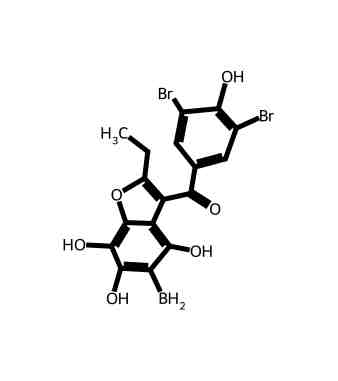 Bc1c(O)c(O)c2oc(CC)c(C(=O)c3cc(Br)c(O)c(Br)c3)c2c1O